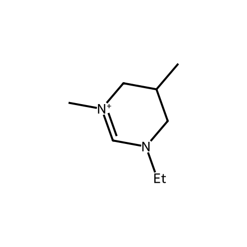 CCN1C=[N+](C)CC(C)C1